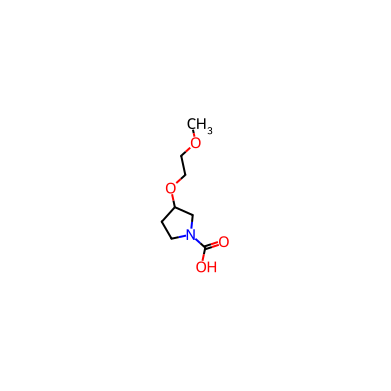 COCCOC1CCN(C(=O)O)C1